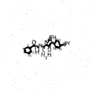 C/C(=N\NC(=O)c1ccccc1)c1nn(C)c(-c2ccc(C(C)C)cc2)c1O